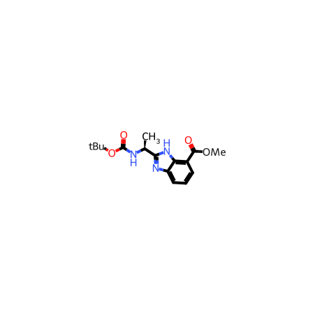 COC(=O)c1cccc2nc([C@H](C)NC(=O)OC(C)(C)C)[nH]c12